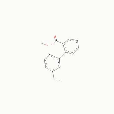 CCCCCCCCOC(=O)c1ccccc1-c1cccc(OC)c1